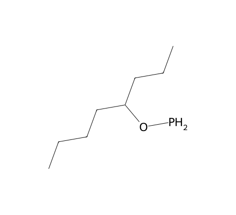 CCCCC(CCC)OP